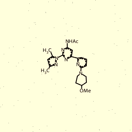 COC1CCN(c2cccc(-c3cc(NC(C)=O)nc(-n4nc(C)cc4C)n3)n2)CC1